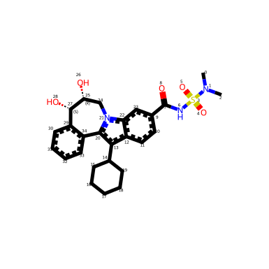 CN(C)S(=O)(=O)NC(=O)c1ccc2c(C3CCCCC3)c3n(c2c1)C[C@@H](O)[C@@H](O)c1ccccc1-3